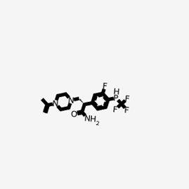 C=C(C)N1CCN(C[C@@H](C(N)=O)c2ccc(PC(F)(F)F)c(F)c2)CC1